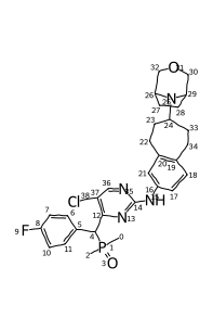 CP(C)(=O)C(c1ccc(F)cc1)c1nc(Nc2ccc3c(c2)CCC(N2C4CCC2COC4)CC3)ncc1Cl